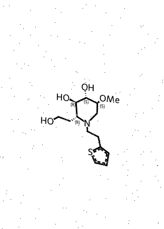 CO[C@H]1CN(CCc2cccs2)[C@H](CCO)[C@@H](O)[C@@H]1O